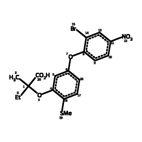 CCC(C)(Oc1cc(Oc2ccc([N+](=O)[O-])cc2Br)ccc1SC)C(=O)O